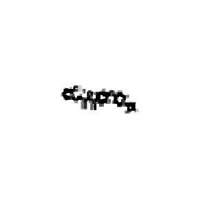 C[C@@H]1CCCN1CCNC(=O)Nc1ccc(OC2CCN(C3CCC3)CC2)cc1